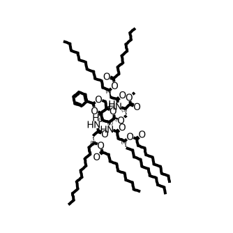 CCCCCCCCCCC[C@H](CC(=O)N[C@H]1[C@H](OC[C@H](NC(=O)C[C@@H](CCCCCCCCCCC)OC(=O)CCCCCCCCC)C(=O)OC)O[C@@H]2COC(c3ccccc3)O[C@H]2[C@H]1NC(=O)C[C@@H](CCCCCCCCCCC)OC(=O)CCCCCCCCC)OC(=O)CCCCCCCCC